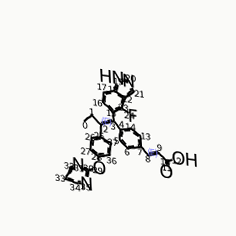 CC/C(=C(/c1ccc(/C=C/C(=O)O)cc1)c1ccc2[nH]ncc2c1F)c1ccc(Oc2ncccn2)cc1